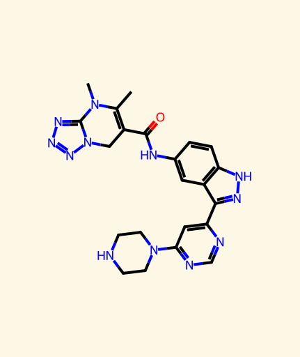 CC1=C(C(=O)Nc2ccc3[nH]nc(-c4cc(N5CCNCC5)ncn4)c3c2)Cn2nnnc2N1C